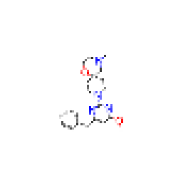 COc1cc(Cc2ccccc2)nc(N2CCC3(CC2)CN(C)CCO3)n1